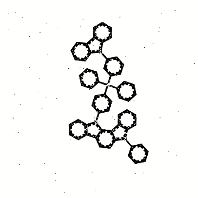 c1ccc(-n2c3ccccc3c3c2ccc2c4ccccc4n(-c4ccc([Si](c5ccccc5)(c5ccccc5)c5cccc(-n6c7ccccc7c7ccccc76)c5)cc4)c23)cc1